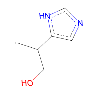 [CH2]C(CO)c1cnc[nH]1